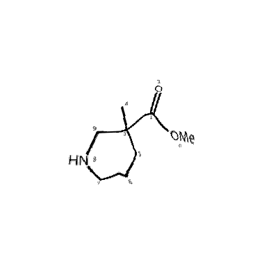 COC(=O)C1(C)CCCNC1